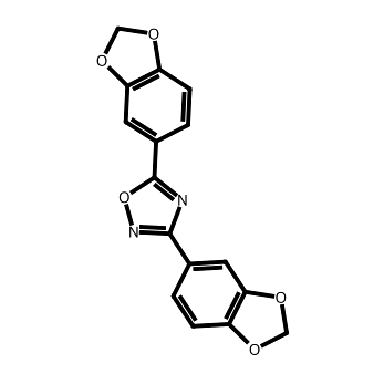 c1cc2c(cc1-c1noc(-c3ccc4c(c3)OCO4)n1)OCO2